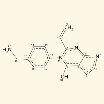 C=Cc1nc2nccc-2c(O)n1-c1ccc(CN)cc1